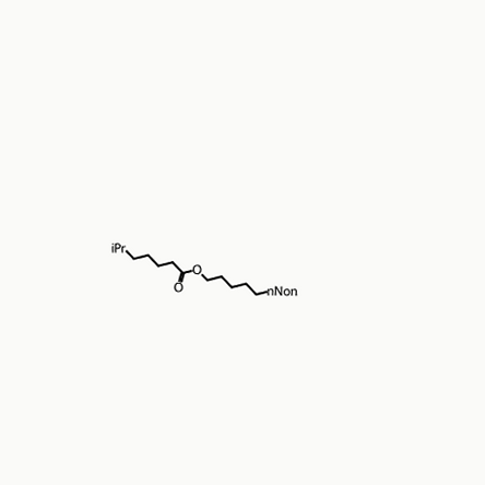 CCCCCCCCCCCCCCOC(=O)CCCCC(C)C